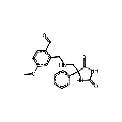 COc1ccc(C=O)c(CNCC2(c3ccccc3)NC(=O)NC2=O)c1